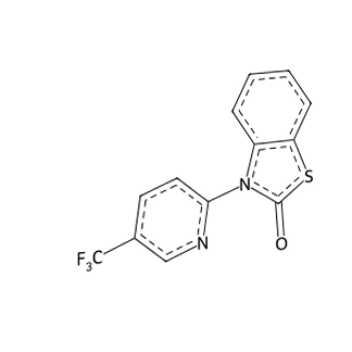 O=c1sc2ccccc2n1-c1ccc(C(F)(F)F)cn1